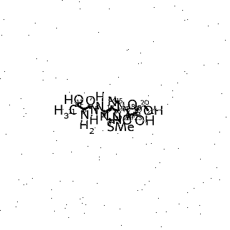 CSc1nc(NNC(=O)C(N)C(C)O)c2ncn([C@@H]3O[C@H](CO)[C@@H](O)[C@H]3O)c2n1